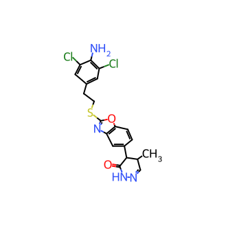 CC1C=NNC(=O)C1c1ccc2oc(SCCc3cc(Cl)c(N)c(Cl)c3)nc2c1